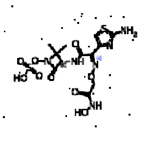 CC1(C)[C@H](NC(=O)/C(=N\OCC(=O)NO)c2csc(N)n2)C(=O)N1OS(=O)(=O)O